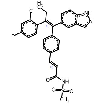 CC/C(=C(/c1ccc(/C=C/C(=O)NS(C)(=O)=O)cc1)c1ccc2[nH]ncc2c1)c1ccc(F)cc1Cl